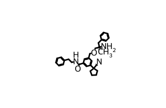 C[C@](N)(COCc1cc(C(=O)NCCc2ccccc2)cc(C2(C#N)CCCC2)c1)Cc1ccccc1